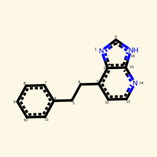 [c]1nc2c(CCc3ccccc3)ccnc2[nH]1